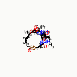 C/C=C1\NC(=O)[C@H]2CS[S@+]([O-])CC/C=C/[C@H](CC(=O)N[C@H](C(C)C)C(=O)N2)OC(=O)[C@H](C(C)C)NC1=O